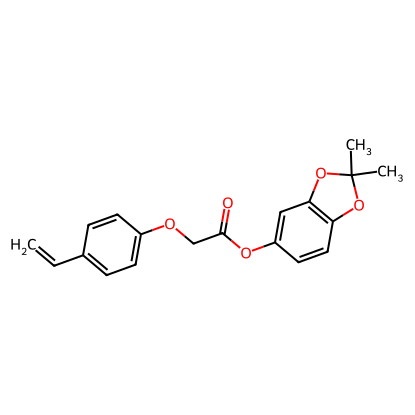 C=Cc1ccc(OCC(=O)Oc2ccc3c(c2)OC(C)(C)O3)cc1